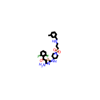 Cc1cccc(CNCCCS(=O)(=O)N2CCC(Nc3nc(N)c(C(=O)c4c(F)cccc4F)s3)CC2)c1